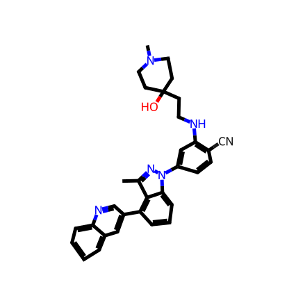 Cc1nn(-c2ccc(C#N)c(NCCC3(O)CCN(C)CC3)c2)c2cccc(-c3cnc4ccccc4c3)c12